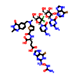 Cc1nc2ccc(CN(C)c3ccc(C(=O)N[C@@H](CCC(=O)O)C(=O)O)s3)cc2c(=O)[nH]1.NC(=O)NO.Nc1ccn([C@@H]2O[C@H](CO)[C@@H](O)C2(F)F)c(=O)n1.Nc1nc2nc[nH]c2c(=S)[nH]1.Nc1ncn([C@@H]2O[C@H](CO)[C@@H](O)[C@H]2O)c(=O)n1.S=c1nc[nH]c2nc[nH]c12